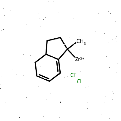 C[C]1([Zr+2])CCC2CC=CC=C21.[Cl-].[Cl-]